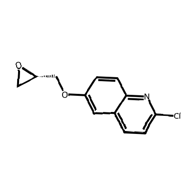 Clc1ccc2cc(OC[C@@H]3CO3)ccc2n1